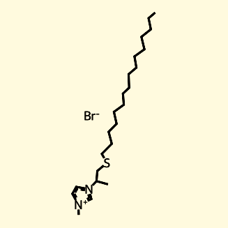 CCCCCCCCCCCCCCCCSCC(C)n1cc[n+](C)c1.[Br-]